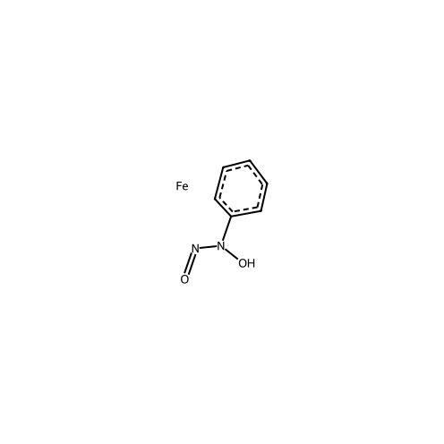 O=NN(O)c1ccccc1.[Fe]